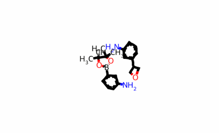 CC1(C)OB(c2cccc(N)c2)OC1(C)C.Nc1cccc(C2COC2)c1